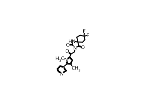 Cc1cc(C(=O)CN2C(=O)NC3(CCC(F)(F)CC3)C2=O)n(C)c1-c1cccnc1